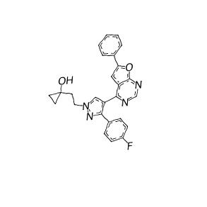 OC1(CCn2cc(-c3ncnc4oc(-c5ccccc5)cc34)c(-c3ccc(F)cc3)n2)CC1